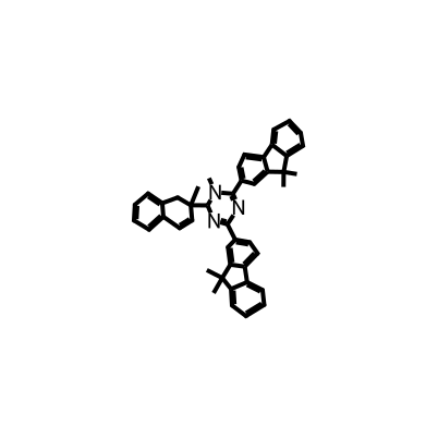 CN1C(c2ccc3c(c2)C(C)(C)c2ccccc2-3)=NC(c2ccc3c(c2)C(C)(C)c2ccccc2-3)=NC1C1(C)C=Cc2ccccc2C1